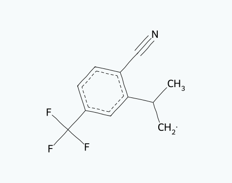 [CH2]C(C)c1cc(C(F)(F)F)ccc1C#N